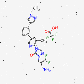 CCn1cc(-c2cccc(-c3cnc(-n4cnn(CC(CN)=C(F)F)c4=O)c(C)c3)c2)cn1.O=C(O)C(F)(F)F